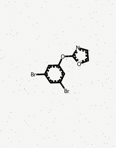 Brc1cc(Br)cc(Oc2n[c]co2)c1